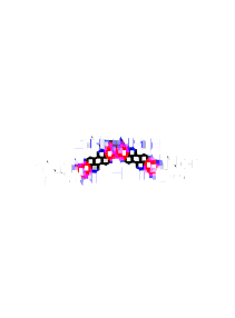 CCCCCCCCCCNC(=O)c1ccc2c3ccc(C(=O)NC(=O)c4ccc5c6ccc(C(=O)NCCCCCCCCCC)c7c(C(=O)NCCCCCCCCC)ccc(c8ccc(C(=O)NCCCCCCCCC)c4c85)c76)c4c(C(=O)NCCCCCCCCC)ccc(c5ccc(C(=O)NCCCCCCCCC)c1c52)c43